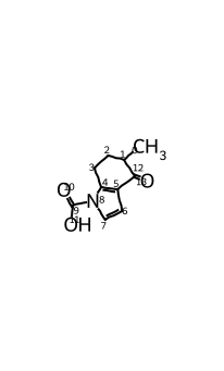 CC1CCc2c(ccn2C(=O)O)C1=O